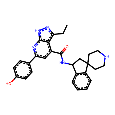 CCc1n[nH]c2nc(-c3ccc(O)cc3)cc(C(=O)NC3CC4(CCNCC4)c4ccccc43)c12